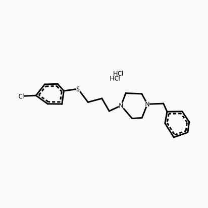 Cl.Cl.Clc1ccc(SCCCN2CCN(Cc3ccccc3)CC2)cc1